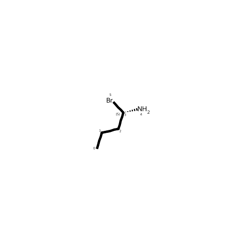 CCC[C@@H](N)Br